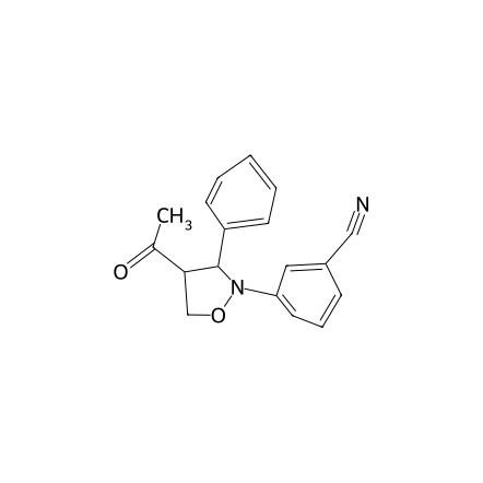 CC(=O)C1CON(c2cccc(C#N)c2)C1c1ccccc1